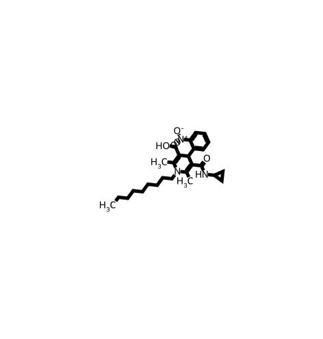 CCCCCCCCCN1C(C)=C(C(=O)O)C(c2ccccc2[N+](=O)[O-])C(C(=O)NC2CC2)=C1C